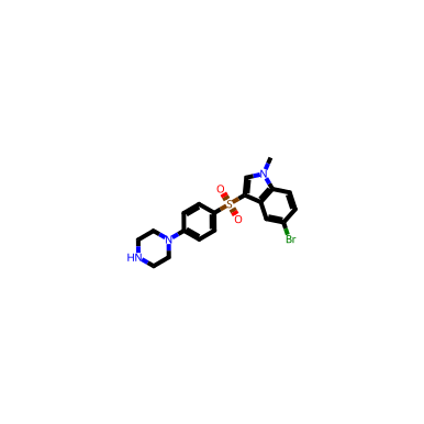 Cn1cc(S(=O)(=O)c2ccc(N3CCNCC3)cc2)c2cc(Br)ccc21